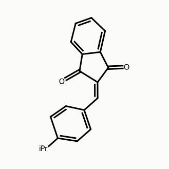 CC(C)c1ccc(C=C2C(=O)c3ccccc3C2=O)cc1